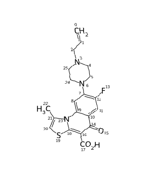 C=CCN1CCN(c2cc3c(cc2F)c(=O)c(C(=O)O)c2scc(C)n23)CC1